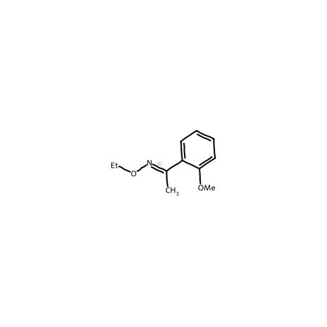 CCO/N=C(\C)c1ccccc1OC